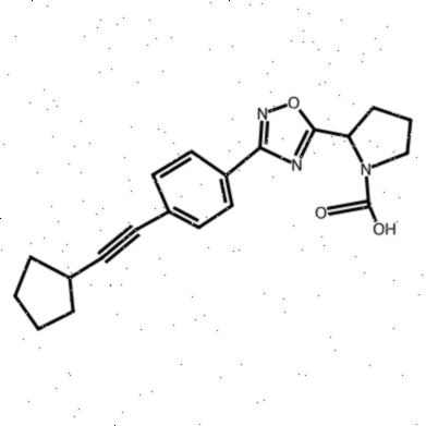 O=C(O)N1CCCC1c1nc(-c2ccc(C#CC3CCCC3)cc2)no1